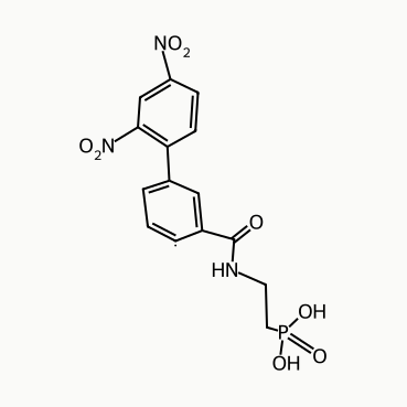 O=C(NCCP(=O)(O)O)c1[c]ccc(-c2ccc([N+](=O)[O-])cc2[N+](=O)[O-])c1